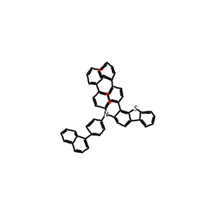 c1ccc(-c2ccc(-c3c(N(c4ccc(-c5ccccc5)cc4)c4ccc(-c5cccc6ccccc56)cc4)ccc4c3sc3ccccc34)cc2)cc1